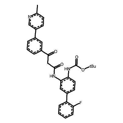 Cc1ccc(-c2cccc(C(=O)CC(=O)Nc3cc(-c4ccccc4F)ccc3NC(=O)OC(C)(C)C)c2)cn1